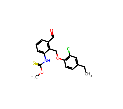 CCc1ccc(OCc2c(C=O)cccc2NC(=S)OC)c(Cl)c1